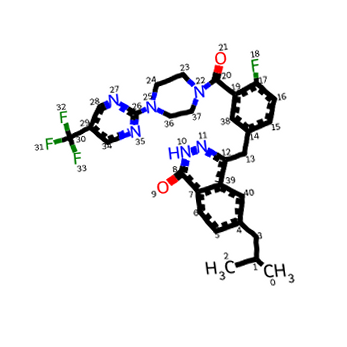 CC(C)Cc1ccc2c(=O)[nH]nc(Cc3ccc(F)c(C(=O)N4CCN(c5ncc(C(F)(F)F)cn5)CC4)c3)c2c1